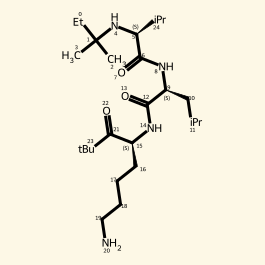 CCC(C)(C)N[C@H](C(=O)N[C@@H](CC(C)C)C(=O)N[C@@H](CCCCN)C(=O)C(C)(C)C)C(C)C